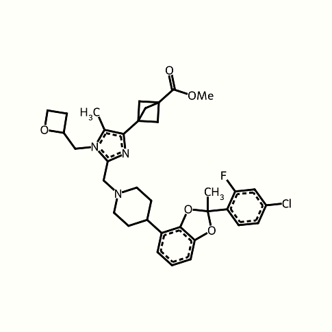 COC(=O)C12CC(c3nc(CN4CCC(c5cccc6c5OC(C)(c5ccc(Cl)cc5F)O6)CC4)n(CC4CCO4)c3C)(C1)C2